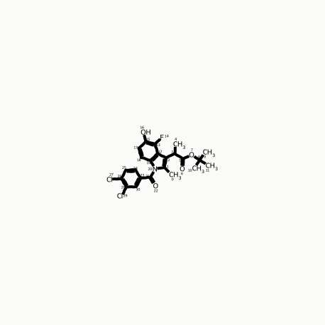 Cc1c(C(C)C(=O)OC(C)(C)C)c2c(F)c(O)ccc2n1C(=O)c1ccc(Cl)c(Cl)c1